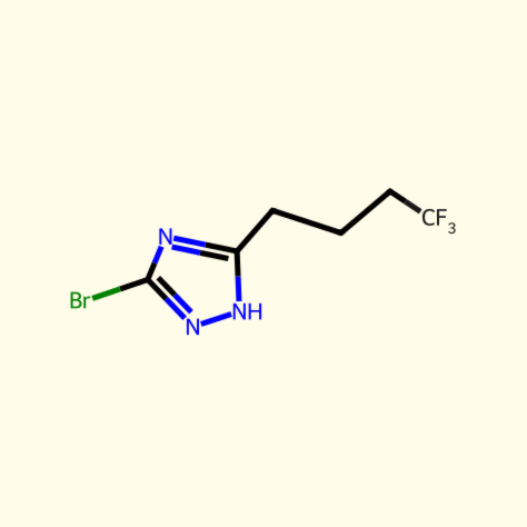 FC(F)(F)CCCc1nc(Br)n[nH]1